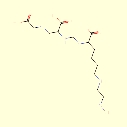 CNCCNCCCCC(NCNC(CNCC(=O)O)C(=O)O)C(=O)O